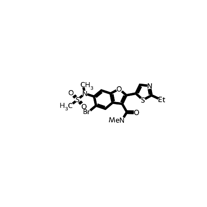 CCc1ncc(-c2oc3cc(N(C)S(C)(=O)=O)c(Br)cc3c2C(=O)NC)s1